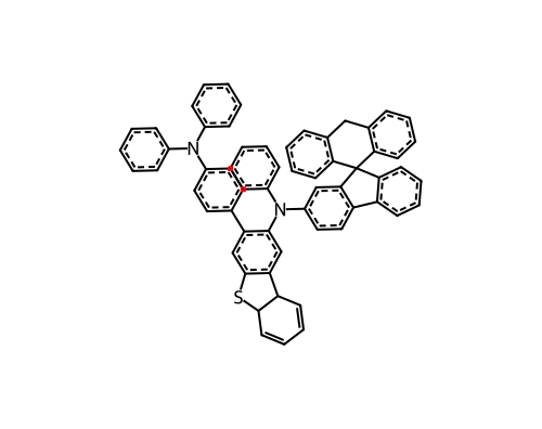 C1=CC2Sc3cc(-c4ccc(N(c5ccccc5)c5ccccc5)cc4)c(N(c4ccccc4)c4ccc5c(c4)C4(c6ccccc6Cc6ccccc64)c4ccccc4-5)cc3C2C=C1